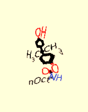 CCCCCCCCNC(=O)Oc1ccc(C(C)(C)c2ccc(O)cc2)cc1